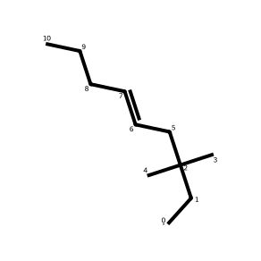 [CH2]CC(C)(C)C/C=C/CCC